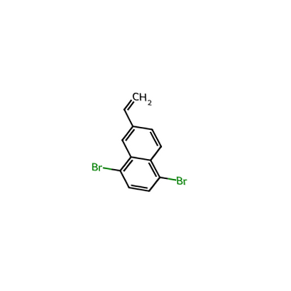 C=Cc1ccc2c(Br)ccc(Br)c2c1